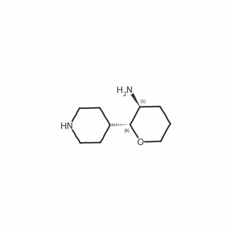 N[C@H]1CCCO[C@@H]1C1CCNCC1